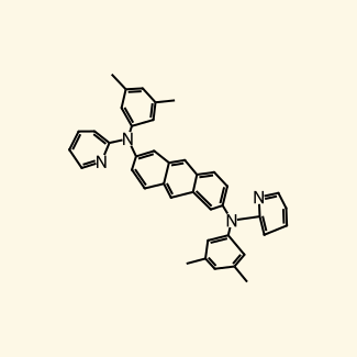 Cc1cc(C)cc(N(c2ccc3cc4cc(N(c5cc(C)cc(C)c5)c5ccccn5)ccc4cc3c2)c2ccccn2)c1